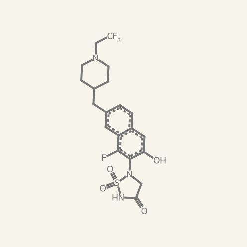 O=C1CN(c2c(O)cc3ccc(CC4CCN(CC(F)(F)F)CC4)cc3c2F)S(=O)(=O)N1